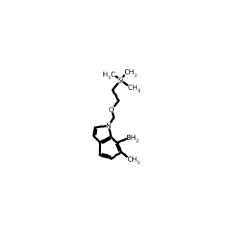 Bc1c(C)ccc2ccn(COCC[Si](C)(C)C)c12